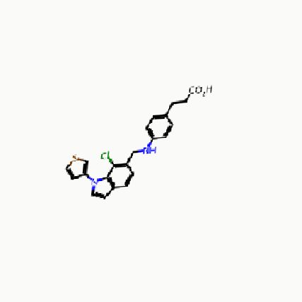 O=C(O)CCc1ccc(NCc2ccc3ccn(-c4ccsc4)c3c2Cl)cc1